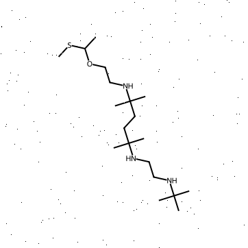 CSC(C)OCCNC(C)(C)CCC(C)(C)NCCNC(C)(C)C